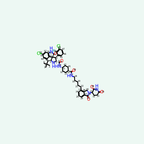 CC(C)(C)C[C@@H]1N[C@@H](C(=O)N[C@H]2CC[C@H](C(=O)NCCCCCc3cccc4c3CN(C3CCC(=O)NC3=O)C4=O)CC2)[C@H](c2cccc(Cl)c2F)[C@]12C(=O)Nc1cc(Cl)ccc12